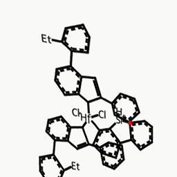 CCc1ccccc1-c1cccc2c1C=C(c1ccccc1)[CH]2[Hf]([Cl])([Cl])([c]1cccc2c1[SiH2]c1ccccc1-2)[CH]1C(c2ccccc2)=Cc2c(-c3ccccc3CC)cccc21